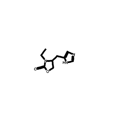 CCN1C(=O)OCC1Cc1cnc[nH]1